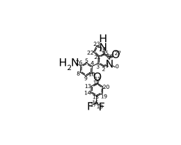 Cn1cc(-c2cc(N)ccc2Oc2ccc(C(F)F)cc2)c2cc[nH]c2c1=O